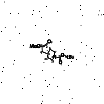 COC(=C=O)CC1CCN(C(=O)OC(C)(C)C)CC1